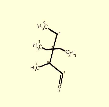 CCC(C)(C)C(C)C=O